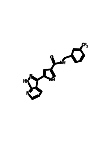 O=C(NCc1cccc(C(F)(F)F)c1)c1c[nH]c(-c2n[nH]c3ncccc23)c1